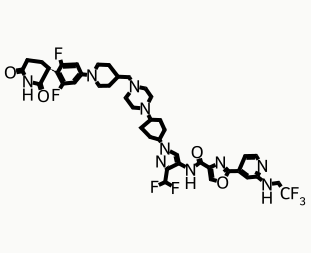 O=C1CC[C@H](c2c(F)cc(N3CCC(CN4CCN(C5CCC(n6cc(NC(=O)c7coc(-c8ccnc(NCC(F)(F)F)c8)n7)c(C(F)F)n6)CC5)CC4)CC3)cc2F)C(=O)N1